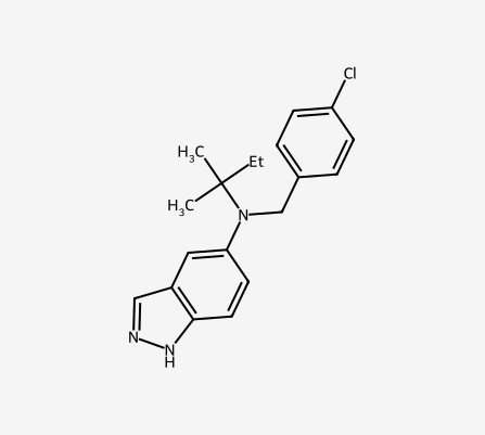 CCC(C)(C)N(Cc1ccc(Cl)cc1)c1ccc2[nH]ncc2c1